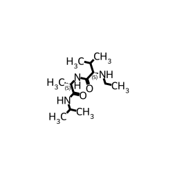 CCN[C@H](C(=O)N[C@@H](C)C(=O)NC(C)C)C(C)C